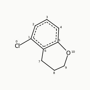 Clc1cccc2c1CCCO2